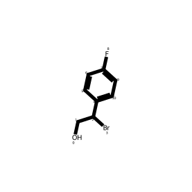 OCC(Br)c1ccc(F)cc1